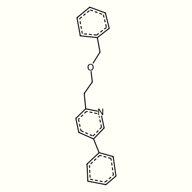 c1ccc(COCCc2ccc(-c3ccccc3)cn2)cc1